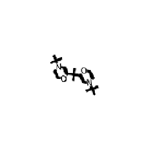 CC(C)(C1=CN(C(C)(C)C)C=CO1)C1=CN(C(C)(C)C)C=CO1